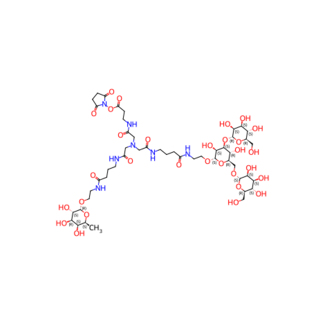 C[C@@H]1O[C@@H](OCCNC(=O)CCCNC(=O)CN(CC(=O)NCCCC(=O)NCCO[C@H]2O[C@H](CO[C@H]3O[C@H](CO)[C@@H](O)[C@H](O)[C@@H]3O)[C@@H](O)[C@H](O[C@H]3O[C@H](CO)[C@@H](O)[C@H](O)[C@@H]3O)[C@@H]2O)CC(=O)NCCC(=O)ON2C(=O)CCC2=O)[C@@H](O)[C@H](O)[C@@H]1O